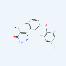 CCc1c(-c2cc(C(=O)c3c(Cl)cc(Cl)cc3Cl)ccc2C)cn[nH]c1=O